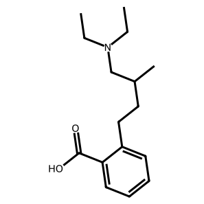 CCN(CC)CC(C)CCc1ccccc1C(=O)O